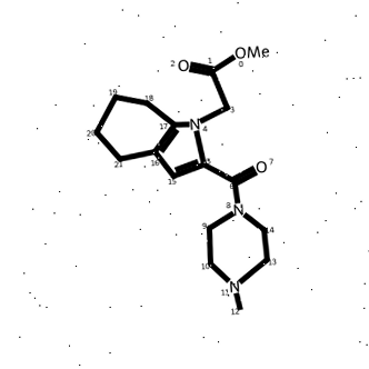 COC(=O)Cn1c(C(=O)N2CCN(C)CC2)cc2c1CCCC2